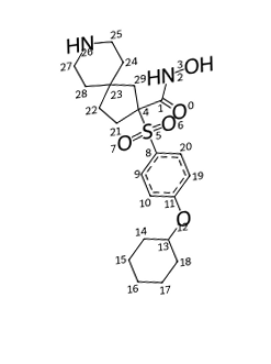 O=C(NO)C1(S(=O)(=O)c2ccc(OC3CCCCC3)cc2)CCC2(CCNCC2)C1